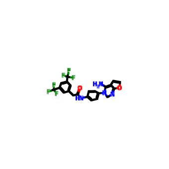 NC1=c2ccoc2=NCN1c1ccc(NC(=O)Cc2cc(C(F)(F)F)cc(C(F)(F)F)c2)cc1